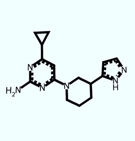 Nc1nc(C2CC2)cc(N2CCCC(c3ccn[nH]3)C2)n1